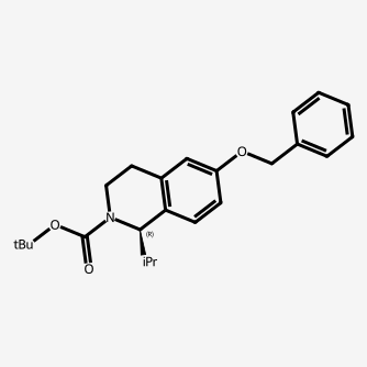 CC(C)[C@@H]1c2ccc(OCc3ccccc3)cc2CCN1C(=O)OC(C)(C)C